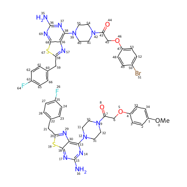 COc1ccc(OCC(=O)N2CCN(c3nc(N)nc4sc(Cc5ccc(F)cc5)nc34)CC2)cc1.Nc1nc(N2CCN(C(=O)COc3ccc(Br)cc3)CC2)c2nc(Cc3ccc(F)cc3)sc2n1